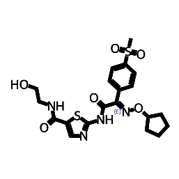 CS(=O)(=O)c1ccc(/C(=N\OC2CCCC2)C(=O)Nc2ncc(C(=O)NCCO)s2)cc1